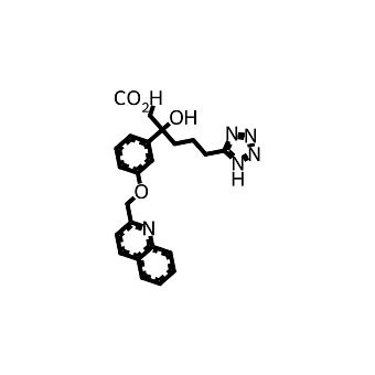 O=C(O)CC(O)(CCCc1nnn[nH]1)c1cccc(OCc2ccc3ccccc3n2)c1